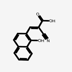 N#CC(=Cc1ccc2ccccc2c1O)C(=O)O